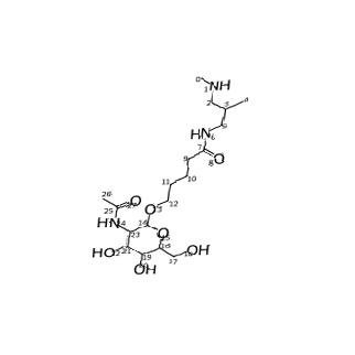 CNCC(C)CNC(=O)CCCCOC1OC(CO)C(O)C(O)C1NC(C)=O